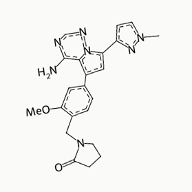 COc1cc(-c2cc(-c3ccn(C)n3)n3ncnc(N)c23)ccc1CN1CCCC1=O